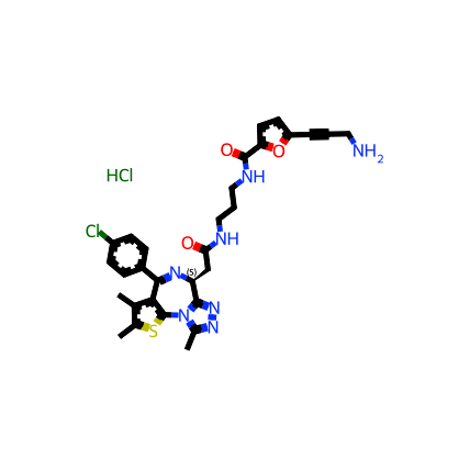 Cc1sc2c(c1C)C(c1ccc(Cl)cc1)=N[C@@H](CC(=O)NCCCNC(=O)c1ccc(C#CCN)o1)c1nnc(C)n1-2.Cl